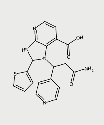 NC(=O)CC(c1ccncc1)N1c2c(C(=O)O)ccnc2NC1c1cccs1